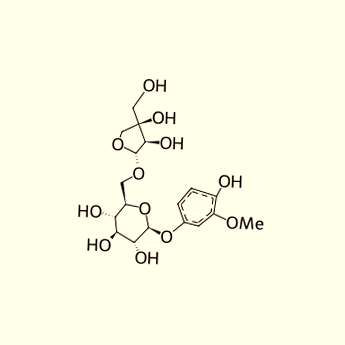 COc1cc(O[C@@H]2O[C@H](CO[C@@H]3OC[C@](O)(CO)[C@H]3O)[C@@H](O)[C@H](O)[C@H]2O)ccc1O